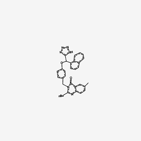 CCCCc1nc2ccc(C)cc2c(=O)n1Cc1ccc(OC(c2nnn[nH]2)c2cccc3ccccc23)cc1